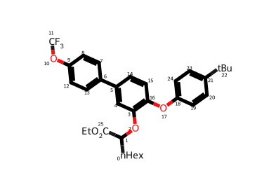 CCCCCCC(Oc1cc(-c2ccc(OC(F)(F)F)cc2)ccc1Oc1ccc(C(C)(C)C)cc1)C(=O)OCC